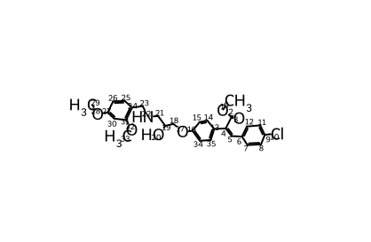 COC(=O)C(=Cc1ccc(Cl)cc1)c1ccc(OCC(O)CNCc2ccc(OC)cc2OC)cc1